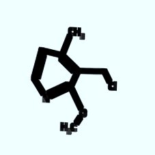 COc1nccc(C)c1CCl